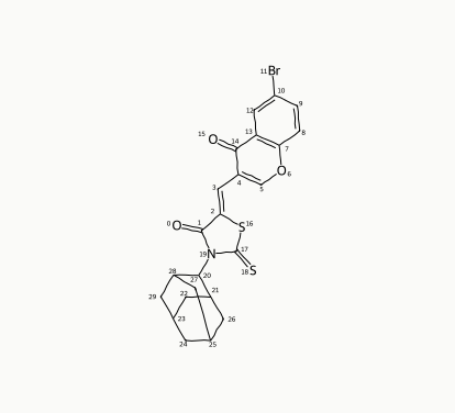 O=C1/C(=C/c2coc3ccc(Br)cc3c2=O)SC(=S)N1C1C2CC3CC(C2)CC1C3